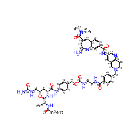 CCCCCC(=O)N[C@H](C(=O)N[C@@H](CCCNC(N)=O)C(=O)Nc1ccc(COC(=O)NCCNC(=O)c2ccc(CN3CCc4ncc(NC(=O)c5ccc6c(c5)N=C(N)CC(C(=O)N(CCC)CCC)=C6)cc4C3)cc2)cc1)C(C)C